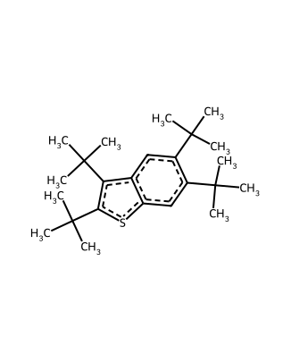 CC(C)(C)c1cc2sc(C(C)(C)C)c(C(C)(C)C)c2cc1C(C)(C)C